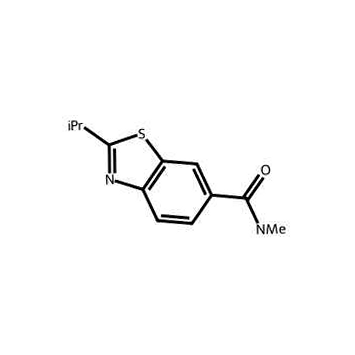 CNC(=O)c1ccc2nc(C(C)C)sc2c1